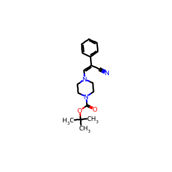 CC(C)(C)OC(=O)N1CCN(C=C(C#N)c2ccccc2)CC1